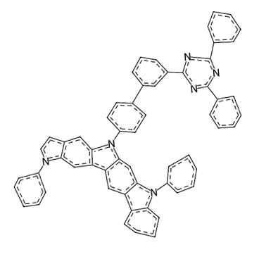 c1ccc(-c2nc(-c3ccccc3)nc(-c3cccc(-c4ccc(-n5c6cc7ccn(-c8ccccc8)c7cc6c6cc7c8ccccc8n(-c8ccccc8)c7cc65)cc4)c3)n2)cc1